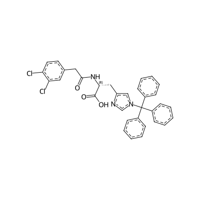 O=C(Cc1ccc(Cl)c(Cl)c1)N[C@H](Cc1cn(C(c2ccccc2)(c2ccccc2)c2ccccc2)cn1)C(=O)O